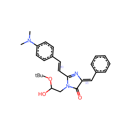 CN(C)c1ccc(/C=C/C2=NC(=C\c3ccccc3)/C(=O)N2CC(O)OC(C)(C)C)cc1